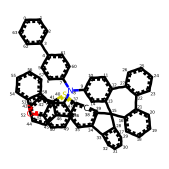 c1ccc(-c2ccc(N(c3ccc4c(c3)C3(c5ccccc5-c5ccccc5-4)c4ccccc4-c4cc5c(cc43)sc3ccccc35)c3cccc4oc5ccccc5c34)cc2)cc1